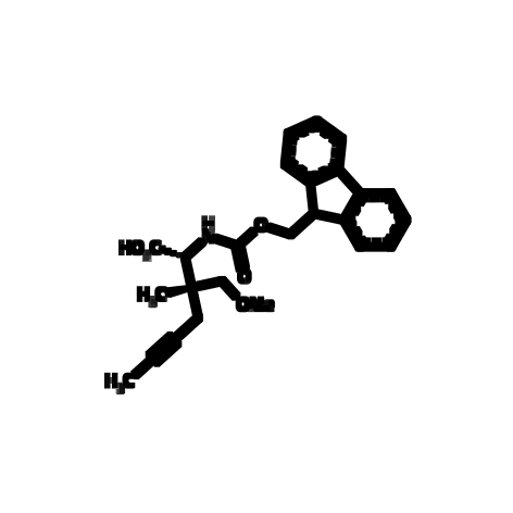 CC#CC[C@@](C)(COC)[C@@H](NC(=O)OCC1c2ccccc2-c2ccccc21)C(=O)O